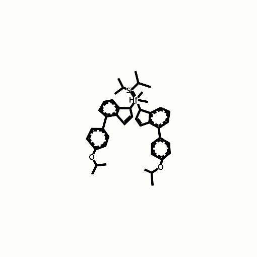 CC(C)Oc1ccc(-c2cccc3c2C=C[CH]3[Hf]([CH3])([CH3])([CH]2C=Cc3c(-c4ccc(OC(C)C)cc4)cccc32)=[Si](C(C)C)C(C)C)cc1